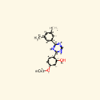 CCCCCCCCOc1ccc(-c2ncnc(-c3cc(C)cc(C)c3)n2)c(O)c1